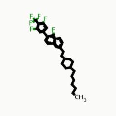 CCCCCCCC1CCC(CCc2ccc3c(F)c(-c4cc(F)c(C(F)(F)F)c(F)c4)ccc3c2)CC1